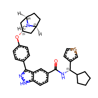 CN1[C@@H]2CC[C@H]1C[C@H](Oc1ccc(-c3n[nH]c4ccc(C(=O)N[C@H](c5ccsc5)C5CCCC5)cc34)cc1)C2